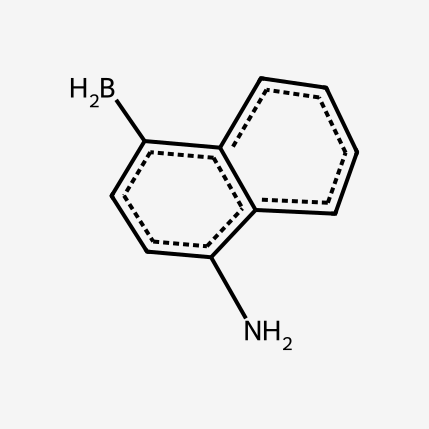 Bc1ccc(N)c2ccccc12